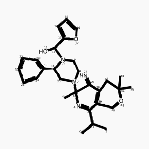 CC(C)C1=NC(C)(N2CCN(C(O)c3ccco3)[C@H](c3ccccc3)C2)C(=N)C2=C1COC(C)(C)C2